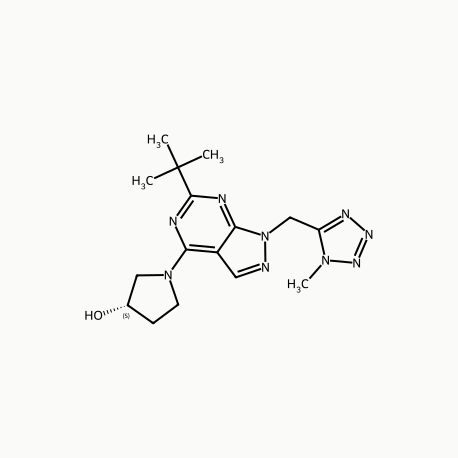 Cn1nnnc1Cn1ncc2c(N3CC[C@H](O)C3)nc(C(C)(C)C)nc21